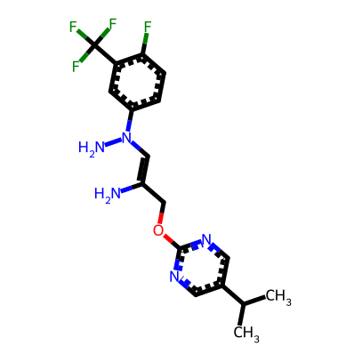 CC(C)c1cnc(OC/C(N)=C/N(N)c2ccc(F)c(C(F)(F)F)c2)nc1